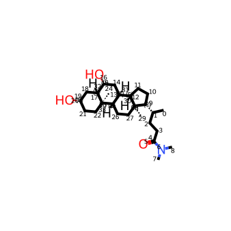 CC(CCC(=O)N(C)C)[C@H]1CC[C@H]2[C@@H]3C[C@@H](O)[C@H]4C[C@@H](O)CC[C@]4(C)[C@H]3CC[C@]12C